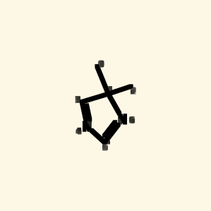 CC1(C)C=N[C]=N1